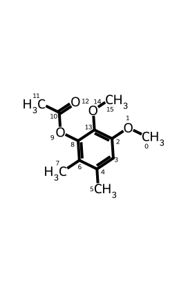 COc1cc(C)c(C)c(OC(C)=O)c1OC